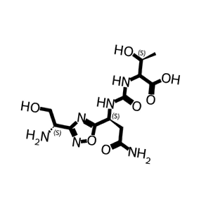 C[C@H](O)C(NC(=O)N[C@@H](CC(N)=O)c1nc([C@H](N)CO)no1)C(=O)O